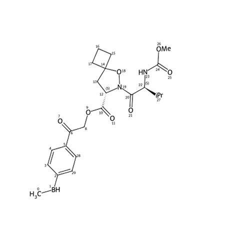 CBc1ccc(C(=O)COC(=O)[C@@H]2CC3(CCC3)ON2C(=O)[C@@H](NC(=O)OC)C(C)C)cc1